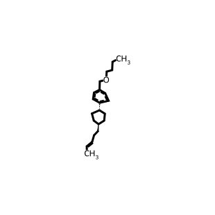 CC=CCC[C@H]1CC[C@H](c2ccc(COCCCC)cc2)CC1